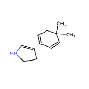 C1=CNCC1.CC1(C)C=CC=CC1